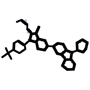 C=c1/c(=C\C=C/C)n(C2=CC=C(C(C)(C)C)CC2)c2ccc(-c3ccc4c(c3)c3ccccc3n4-c3ccccc3)cc12